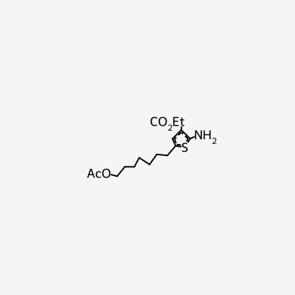 CCOC(=O)c1cc(CCCCCCCOC(C)=O)sc1N